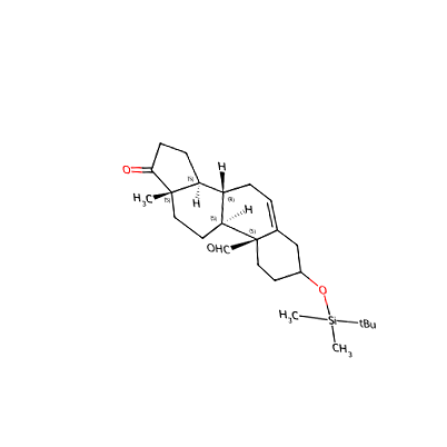 CC(C)(C)[Si](C)(C)OC1CC[C@@]2(C=O)C(=CC[C@@H]3[C@@H]2CC[C@]2(C)C(=O)CC[C@@H]32)C1